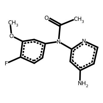 COc1cc(N(C(C)=O)c2cc(N)ccn2)ccc1F